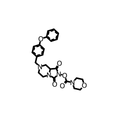 O=C(ON1C(=O)C2CN(Cc3ccc(Oc4ccccc4)cc3)CCN2C1=O)N1CCOCC1